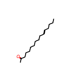 CCCCC=CCCCCCCCCC(C)=O